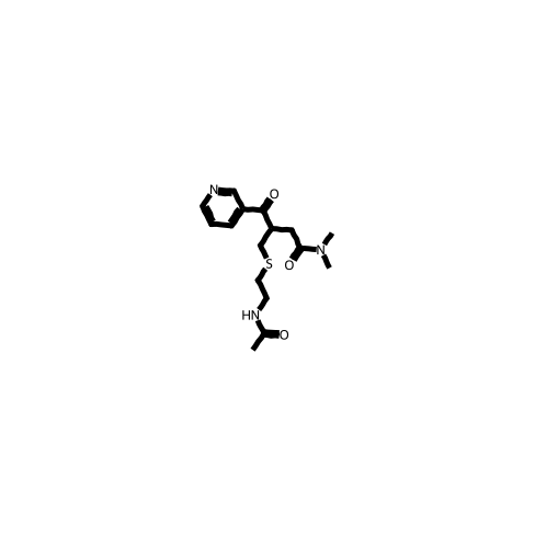 CC(=O)NCCSCC(CC(=O)N(C)C)C(=O)c1cccnc1